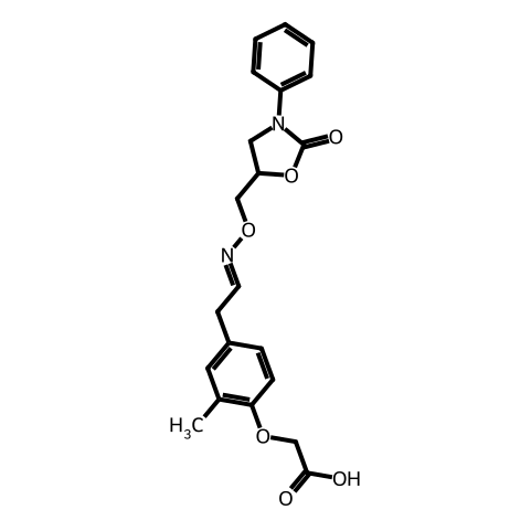 Cc1cc(CC=NOCC2CN(c3ccccc3)C(=O)O2)ccc1OCC(=O)O